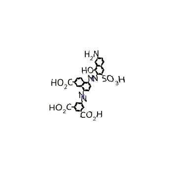 Nc1ccc2cc(S(=O)(=O)O)c(/N=N/c3ccc(/N=N/c4cc(C(=O)O)cc(C(=O)O)c4)c4cc(C(=O)O)ccc34)c(O)c2c1